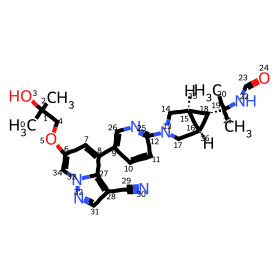 CC(C)(O)COc1cc(-c2ccc(N3C[C@@H]4[C@H](C3)[C@H]4C(C)(C)NC=O)nc2)c2c(C#N)cnn2c1